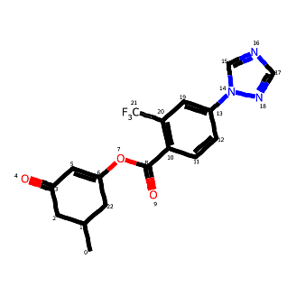 CC1CC(=O)C=C(OC(=O)c2ccc(-n3cncn3)cc2C(F)(F)F)C1